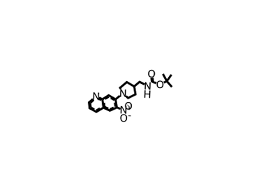 CC(C)(C)OC(=O)NCC1CCN(c2cc3ncccc3cc2[N+](=O)[O-])CC1